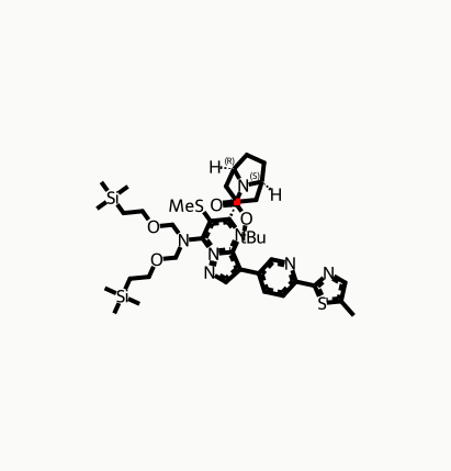 CSc1c([C@@H]2C[C@H]3CC[C@@H](C2)N3C(=O)OC(C)(C)C)nc2c(-c3ccc(-c4ncc(C)s4)nc3)cnn2c1N(COCC[Si](C)(C)C)COCC[Si](C)(C)C